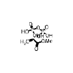 C=CC(=O)OC.O=P(O)(O)OP(=O)(O)O